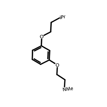 CNCCOc1cccc(OCCC(C)C)c1